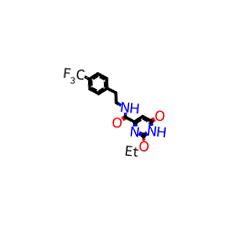 CCOc1nc(C(=O)NCCc2ccc(C(F)(F)F)cc2)cc(=O)[nH]1